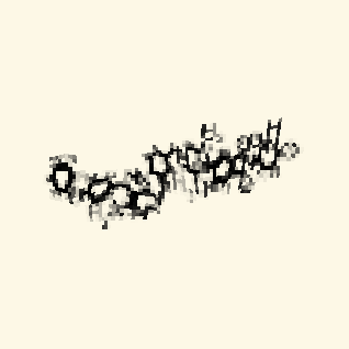 CC1CN(CC2CCC(n3nc(-c4ccc(Oc5ccccc5)cc4)c4c(N)ncnc43)C(F)C2)CC(C)N1c1cc2c(cc1F)C(=O)N(C1CCC(=O)NC1=O)C2=O